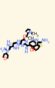 C[C@H](Oc1cc(N/C=C\C(=N)/C(N)=C/N(N)C2CCOCC2)nc(C(=N)C2=C(O)[C@@]3(CCC2)CCCc2sc(N)c(N)c23)n1)[C@@H]1CCCN1C